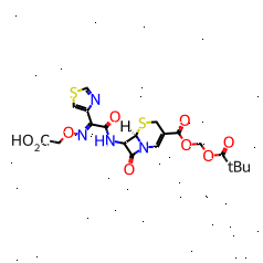 CC(C)(C)C(=O)OCOC(=O)C1=CN2C(=O)C(NC(=O)C(=NOCC(=O)O)c3cscn3)[C@H]2SC1